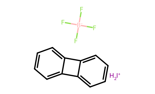 F[B-](F)(F)F.[IH2+].c1ccc2c(c1)-c1ccccc1-2